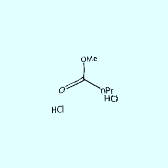 CCCC(=O)OC.Cl.Cl